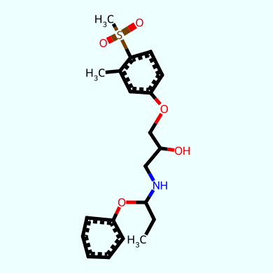 CCC(NCC(O)COc1ccc(S(C)(=O)=O)c(C)c1)Oc1ccccc1